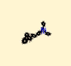 c1ccc(-c2nc(-c3ccccc3)nc(-c3ccc(-c4ccc(-c5ccc6c7c(cccc57)-c5ccccc5-6)cc4)cc3)n2)cc1